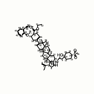 C=C(C)[C@@H]1CC[C@]2(NCC[C@]3(O)CC[C@@H](S(C)(=O)=O)CC3)CC[C@]3(C)[C@H](CC[C@@H]4[C@@]5(C)CC=C(C6=CC[C@](COc7ncccc7C#N)(C(=O)OCC)CC6)C(C)(C)[C@@H]5CC[C@]43C)[C@@H]12